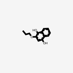 CCCOc1cc(O)c2ccccc2c1O